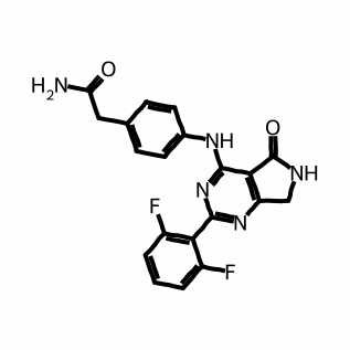 NC(=O)Cc1ccc(Nc2nc(-c3c(F)cccc3F)nc3c2C(=O)NC3)cc1